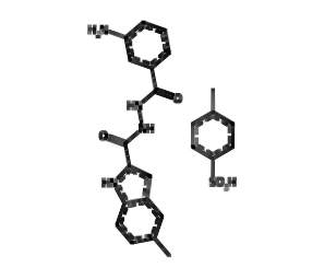 Cc1ccc(S(=O)(=O)O)cc1.Cc1ccc2[nH]c(C(=O)NNC(=O)c3cccc(N)c3)cc2c1